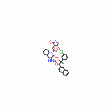 CC(C)(c1cccc(Cl)c1)C(OC(=O)NC(CC1CCCCC1)C(=O)NC(CO)CC1CCNC1=O)c1ccc2ccccc2c1